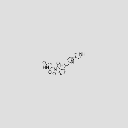 O=C1CCC(N2C(=O)c3cccc(NCc4ccn(C5CCNCC5)n4)c3C2=O)C(=O)N1